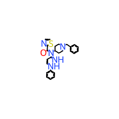 N=C(/C=C\Nc1ccccc1)N(C(=O)c1nccs1)C1CCN(Cc2ccccc2)CC1